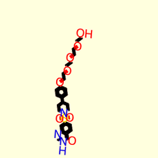 O=c1[nH]cnc2cc(S(=O)(=O)N3CCC(c4ccc(OCCOCCOCCOCCO)cc4)CC3)ccc12